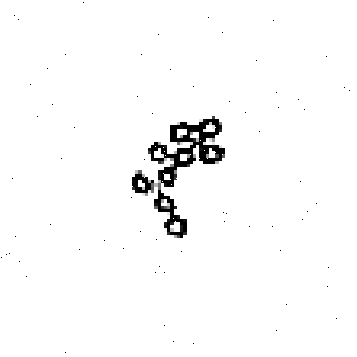 c1ccc(-c2ccc(N(c3ccccc3)c3ccc(-c4ccc(C5(c6ccccc6)c6ccccc6-c6ccccc65)cc4-c4ccccc4)cc3)cc2)cc1